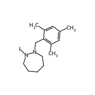 Cc1cc(C)c(CN2CCCCCN2I)c(C)c1